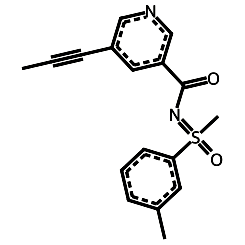 CC#Cc1cncc(C(=O)N=S(C)(=O)c2cccc(C)c2)c1